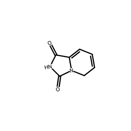 O=C1NC(=O)N2CC=CC=C12